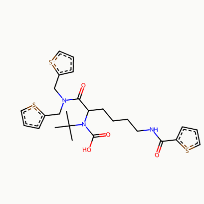 CC(C)(C)N(C(=O)O)C(CCCCNC(=O)c1cccs1)C(=O)N(Cc1cccs1)Cc1cccs1